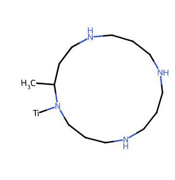 CC1CCNCCCNCCCNCCC[N]1[Ti]